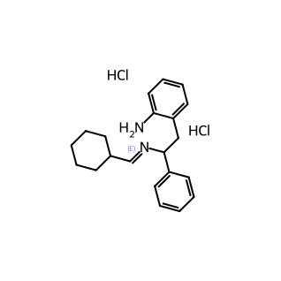 Cl.Cl.Nc1ccccc1CC(/N=C/C1CCCCC1)c1ccccc1